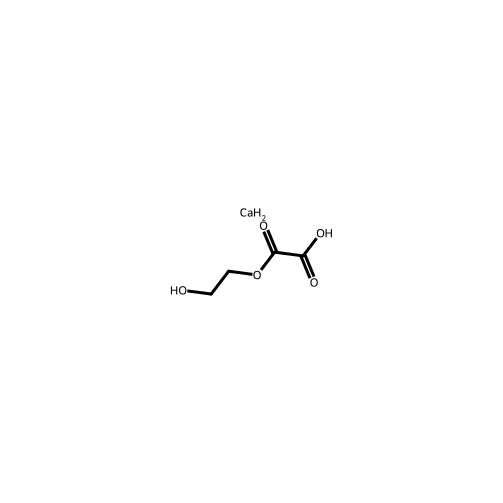 O=C(O)C(=O)OCCO.[CaH2]